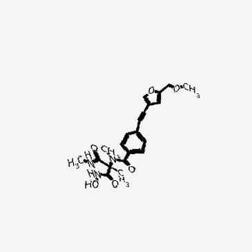 CNC(=O)[C@@](C)(C(=O)NO)N(C)C(=O)c1ccc(C#Cc2coc(COC)c2)cc1